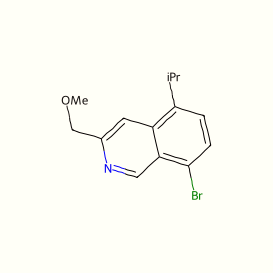 COCc1cc2c(C(C)C)ccc(Br)c2cn1